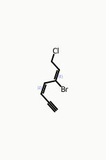 C#C/C=C\C(Br)=C/CCl